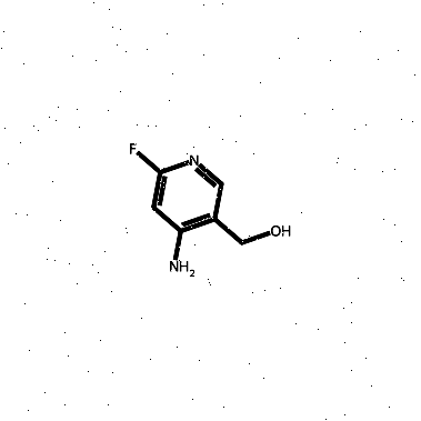 Nc1cc(F)ncc1CO